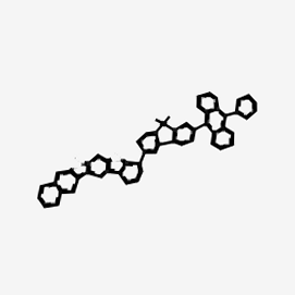 CC1(C)c2ccc(-c3cccc4c3sc3cc5sc6cc7ccccc7cc6c5cc34)cc2-c2ccc(-c3c4ccccc4c(-c4ccccc4)c4ccccc34)cc21